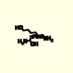 CCCCCC(N)O.NCCCCCCO